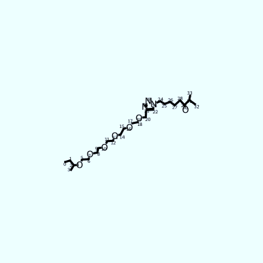 CCC(C)OCCOCCOCCOCCOCCOCc1cn(CCCCCC(=O)C(C)C)nn1